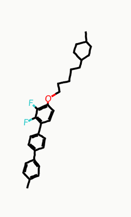 Cc1ccc(-c2ccc(-c3ccc(OCCCCCC4CCC(C)CC4)c(F)c3F)cc2)cc1